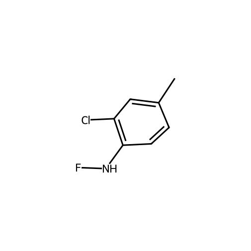 Cc1ccc(NF)c(Cl)c1